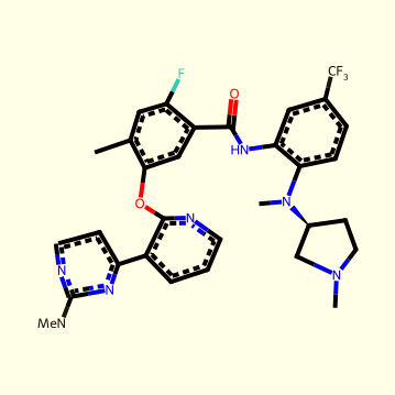 CNc1nccc(-c2cccnc2Oc2cc(C(=O)Nc3cc(C(F)(F)F)ccc3N(C)[C@H]3CCN(C)C3)c(F)cc2C)n1